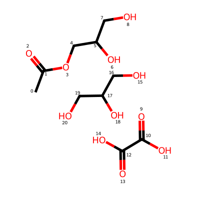 CC(=O)OCC(O)CO.O=C(O)C(=O)O.OCC(O)CO